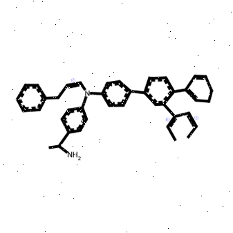 C/C=C\C(=C/C)c1cc(-c2ccc(N(/C=C\Cc3ccccc3)c3ccc(C(C)N)cc3)cc2)ccc1C1=CCCC=C1